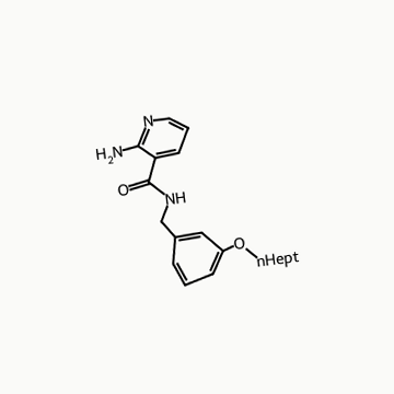 CCCCCCCOc1cccc(CNC(=O)c2cccnc2N)c1